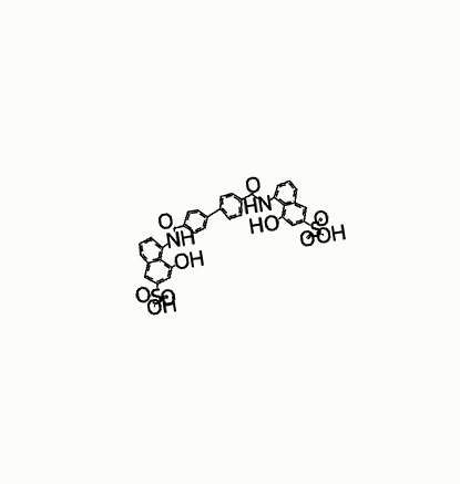 O=C(Nc1cccc2cc(S(=O)(=O)O)cc(O)c12)c1ccc(-c2ccc(C(=O)Nc3cccc4cc(S(=O)(=O)O)cc(O)c34)cc2)cc1